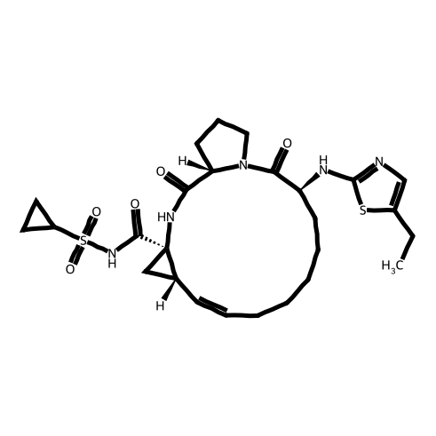 CCc1cnc(N[C@H]2CCCCC/C=C\[C@@H]3C[C@@]3(C(=O)NS(=O)(=O)C3CC3)NC(=O)[C@@H]3CCCN3C2=O)s1